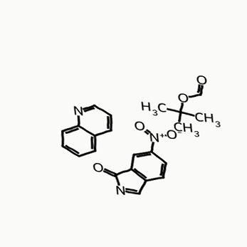 CC(C)(C)OC=O.O=C1N=Cc2ccc([N+](=O)[O-])cc21.c1ccc2ncccc2c1